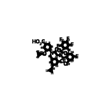 O=C(O)c1ccc(N(Cc2cc(C3CC3)cc(C(F)(F)F)c2)C(=O)CN(Cc2ccc(F)cc2Cl)S(=O)(=O)c2c(F)c(F)c(F)c(F)c2F)c(OC2CC2)c1